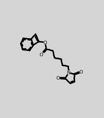 O=C(CCCCCN1C(=O)C=CC1=O)OC1=Cc2ccccc21